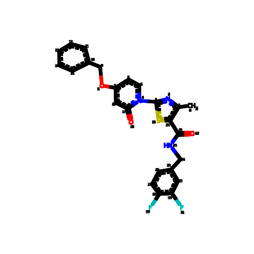 Cc1nc(-n2ccc(OCc3ccccc3)cc2=O)sc1C(=O)NCc1ccc(F)c(F)c1